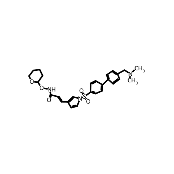 CN(C)Cc1ccc(-c2ccc(S(=O)(=O)n3ccc(C=CC(=O)NOC4CCCCO4)c3)cc2)cc1